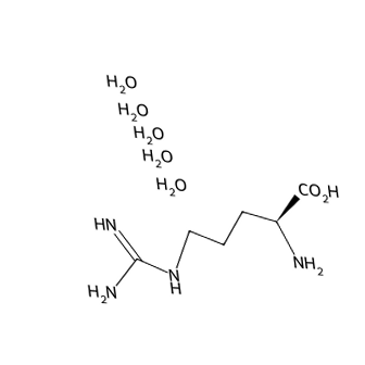 N=C(N)NCCC[C@H](N)C(=O)O.O.O.O.O.O